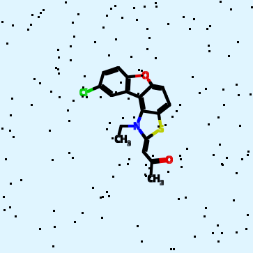 CCN1C(=CC(C)=O)Sc2ccc3oc4ccc(Cl)cc4c3c21